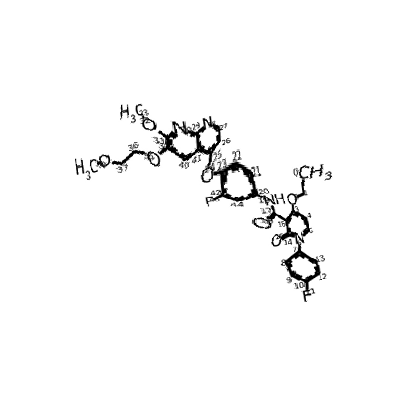 CCOc1ccn(-c2ccc(F)cc2)c(=O)c1C(=O)Nc1ccc(Oc2ccnc3nc(OC)c(OCCOC)cc23)c(F)c1